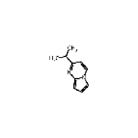 CC(C)c1ccn2cccc2n1